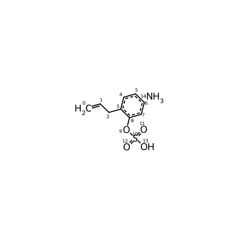 C=CCc1ccccc1OS(=O)(=O)O.N